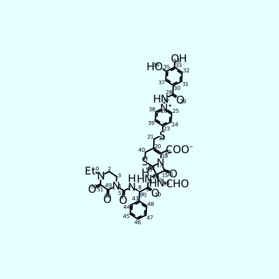 CCN1CCN(C(=O)N[C@@H](C(=O)N[C@]2(NC=O)C(=O)N3C(C(=O)[O-])=C(CSc4cc[n+](NC(=O)c5ccc(O)c(O)c5)cc4)CS[C@@H]32)c2ccccc2)C(=O)C1=O